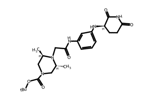 C[C@@H]1CN(C(=O)OC(C)(C)C)C[C@@H](C)N1CC(=O)Nc1cccc(N[C@@H]2CCC(=O)NC2=O)c1